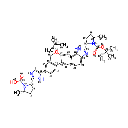 CC1CC[C@@H](c2ncc(-c3ccc4c(c3)COc3cc5c(ccc6nc([C@@H]7CCC(C)N7C(=O)OC(C)(C)C)[nH]c65)cc3-4)[nH]2)N1C(=O)O.C[C](C)C